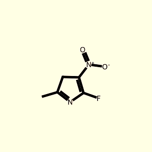 CC1=NC(F)=C([N+](=O)[O-])C1